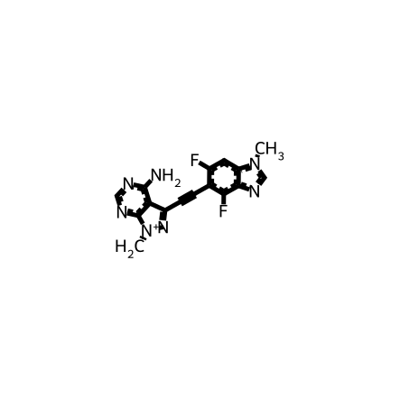 C=[N+]1N=C(C#Cc2c(F)cc3c(ncn3C)c2F)c2c(N)ncnc21